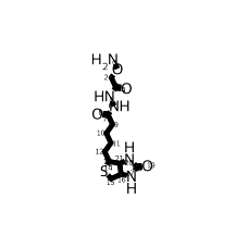 NOCC(=O)NNC(=O)CCCCC1SCC2NC(=O)NC21